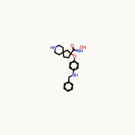 O=C(NO)C1(Oc2ccc(NCc3ccccc3)cc2)CCC2(CCNCC2)C1